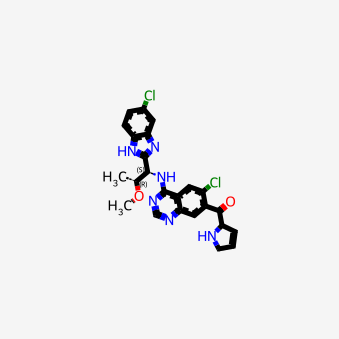 CO[C@H](C)[C@@H](Nc1ncnc2cc(C(=O)C3C=CCN3)c(Cl)cc12)c1nc2cc(Cl)ccc2[nH]1